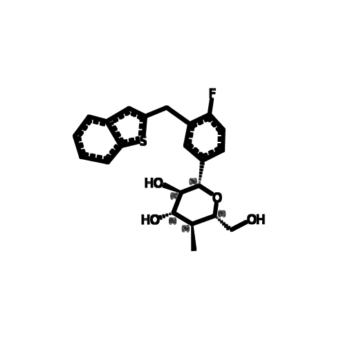 C[C@H]1[C@H](O)[C@@H](O)[C@H](c2ccc(F)c(Cc3cc4ccccc4s3)c2)O[C@@H]1CO